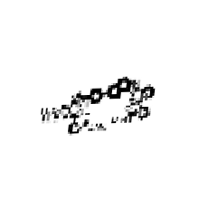 COC(=O)N1CCC[C@H]1C(=O)N1C[Si](C)(C)C[C@H]1c1ncc(-c2ccc(-c3ccc4c(ccc5nc([C@@H]6CCCN6C(=O)[C@@H]6CCCN6C(=O)OC)[nH]c54)c3)cc2)[nH]1